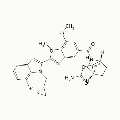 COc1cc(C(=O)N2C[C@H]3CC[C@@H]2[C@@H]3OC(N)=O)cc2nc(-c3cc4cccc(Br)c4n3CC3CC3)n(C)c12